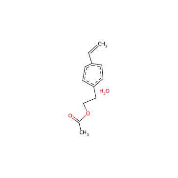 C=Cc1ccc(CCOC(C)=O)cc1.O